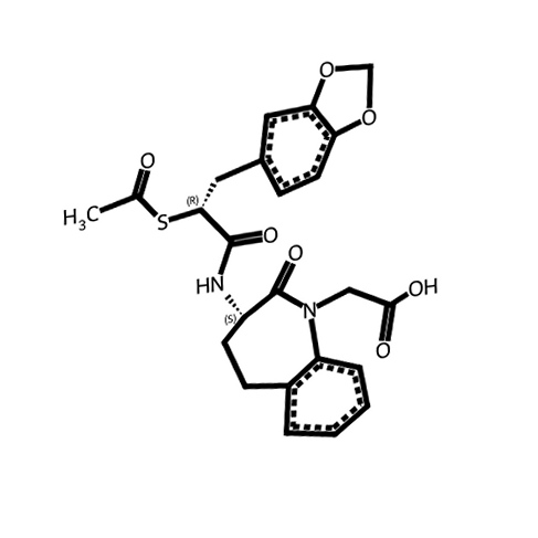 CC(=O)S[C@H](Cc1ccc2c(c1)OCO2)C(=O)N[C@H]1CCc2ccccc2N(CC(=O)O)C1=O